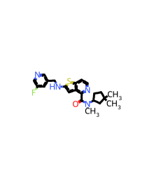 CN(C(=O)c1nccc2sc(NCc3cncc(F)c3)cc12)C1CCC(C)(C)C1